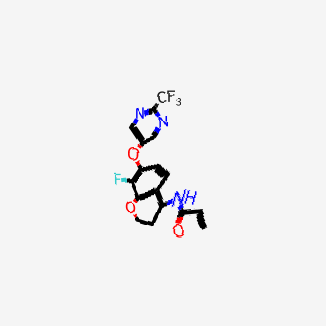 C=CC(=O)NC1CCOc2c1ccc(Oc1cnc(C(F)(F)F)nc1)c2F